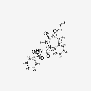 C=CCON1C(=O)N(C)N(C(=O)NS(=O)(=O)c2ccccc2)c2ccccc2C1C